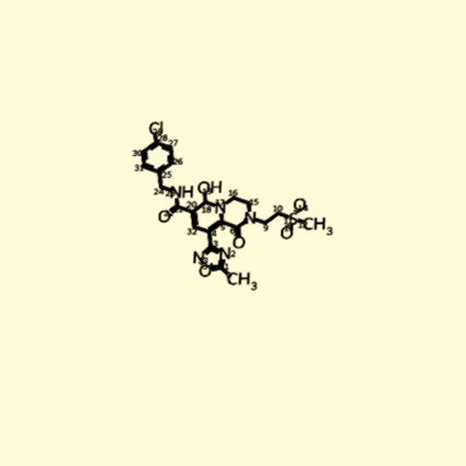 Cc1nc(C2=C3C(=O)N(CCS(C)(=O)=O)CCN3C(O)C(C(=O)NCc3ccc(Cl)cc3)=C2)no1